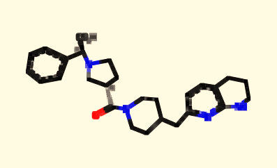 O=C(O)[C@H](c1ccccc1)N1CC[C@H](C(=O)N2CCC(Cc3ccc4c(n3)NCCC4)CC2)C1